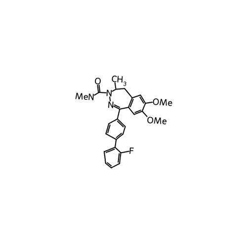 CNC(=O)N1N=C(c2ccc(-c3ccccc3F)cc2)c2cc(OC)c(OC)cc2CC1C